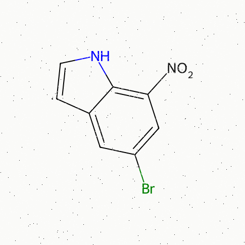 O=[N+]([O-])c1cc(Br)cc2[c]c[nH]c12